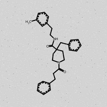 Cc1cccc(CCNC(=O)C2(Cc3ccccc3)CCN(C(=O)CCc3ccccc3)CC2)c1